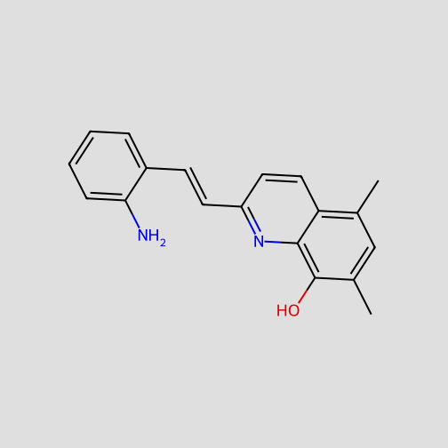 Cc1cc(C)c2ccc(C=Cc3ccccc3N)nc2c1O